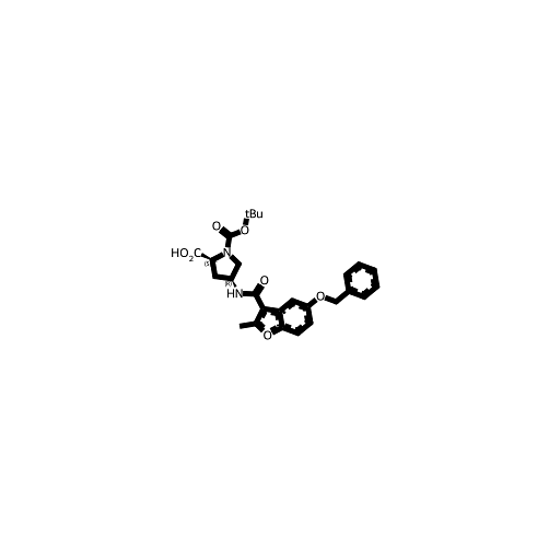 Cc1oc2ccc(OCc3ccccc3)cc2c1C(=O)N[C@@H]1C[C@@H](C(=O)O)N(C(=O)OC(C)(C)C)C1